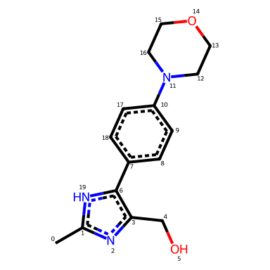 Cc1nc(CO)c(-c2ccc(N3CCOCC3)cc2)[nH]1